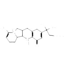 CCC(O)(CC(=O)[O-])C1=CC(=O)C2=C(C1)CC1C[N+]3(F)C(OC)=CCCC3C1N2